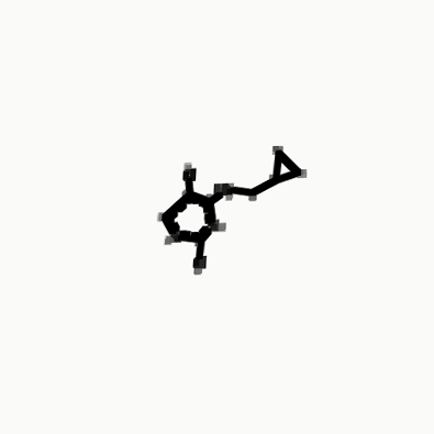 Clc1ncc(Cl)c(NCC2CC2)n1